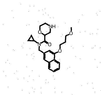 COCCCOc1cc(CN(C(=O)C2CNCCO2)C2CC2)cc2ccccc12